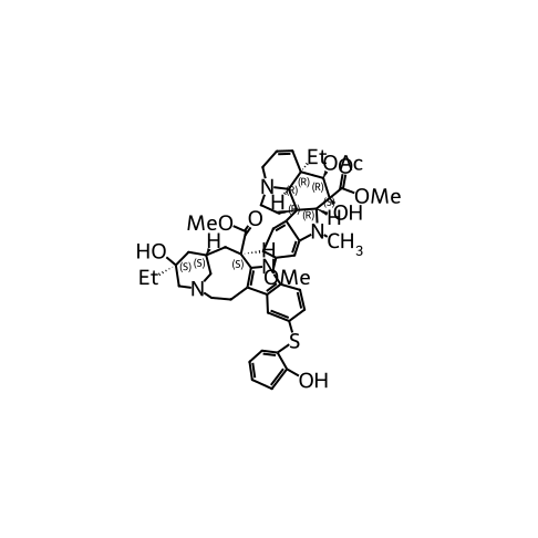 CC[C@]1(O)C[C@H]2CN(CCc3c([nH]c4ccc(Sc5ccccc5O)cc34)[C@@](C(=O)OC)(C3C=C4C(=CC3OC)N(C)[C@H]3[C@@](O)(C(=O)OC)[C@H](OC(C)=O)[C@]5(CC)C=CCN6CC[C@]43[C@@H]65)C2)C1